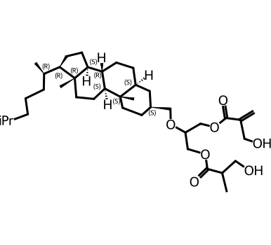 C=C(CO)C(=O)OCC(COC(=O)C(C)CO)OC[C@H]1CC[C@@]2(C)[C@@H](CC[C@@H]3[C@@H]2CC[C@]2(C)[C@@H]([C@H](C)CCCC(C)C)CC[C@@H]32)C1